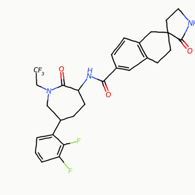 O=C(NC1CCC(c2cccc(F)c2F)CN(CC(F)(F)F)C1=O)c1ccc2c(c1)CCC1(CCNC1=O)C2